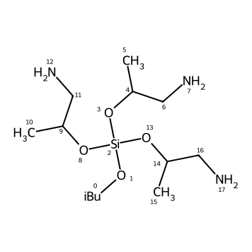 CCC(C)O[Si](OC(C)CN)(OC(C)CN)OC(C)CN